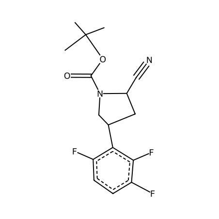 CC(C)(C)OC(=O)N1CC(c2c(F)ccc(F)c2F)CC1C#N